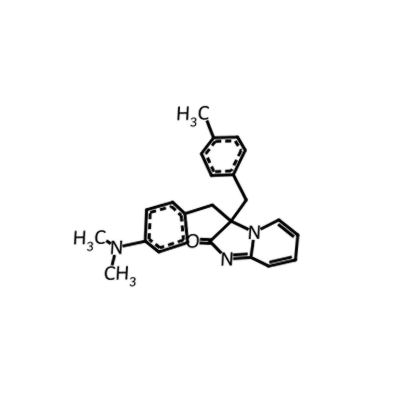 Cc1ccc(CC2(Cc3ccc(N(C)C)cc3)C(=O)N=C3C=CC=CN32)cc1